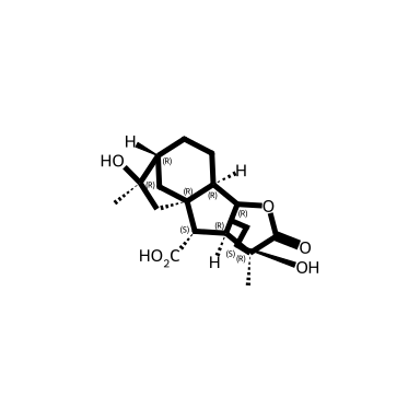 C[C@]12C(=O)O[C@]3(CC[C@@H]1O)[C@@H]1CC[C@@H]4C[C@]1(C[C@@]4(C)O)[C@@H](C(=O)O)[C@@H]32